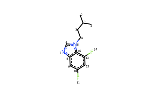 CC(C)CCn1cnc2cc(F)cc(F)c21